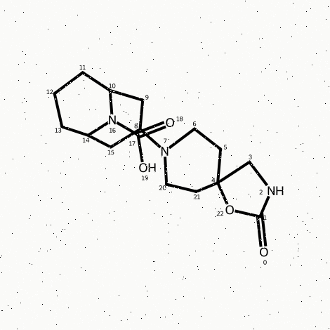 O=C1NCC2(CCN(C3CC4CCCC(C3)N4C(=O)O)CC2)O1